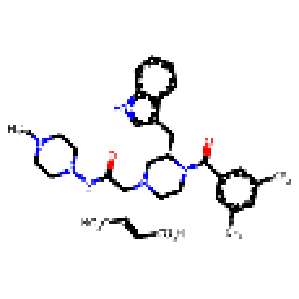 CN1CCN(NC(=O)CN2CCN(C(=O)c3cc(C(F)(F)F)cc(C(F)(F)F)c3)[C@H](Cc3c[nH]c4ccccc34)C2)CC1.O=C(O)C=CC(=O)O